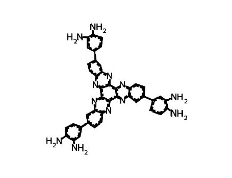 Nc1ccc(-c2ccc3nc4c5nc6cc(-c7ccc(N)c(N)c7)ccc6nc5c5nc6cc(-c7ccc(N)c(N)c7)ccc6nc5c4nc3c2)cc1N